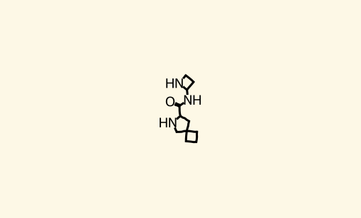 O=C(NC1CCN1)C1CC2(CCC2)CN1